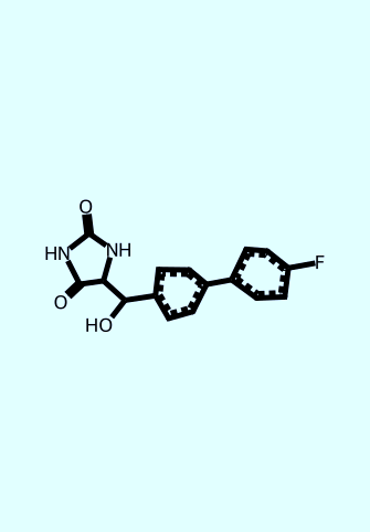 O=C1NC(=O)C(C(O)c2ccc(-c3ccc(F)cc3)cc2)N1